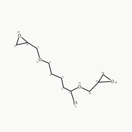 CCC(CCCCOCC1CO1)OCC1CO1